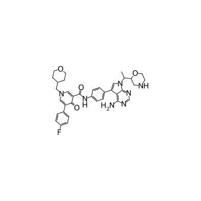 CC(C1CNCCO1)n1cc(-c2ccc(NC(=O)c3cn(CC4CCOCC4)cc(-c4ccc(F)cc4)c3=O)cc2)c2c(N)ncnc21